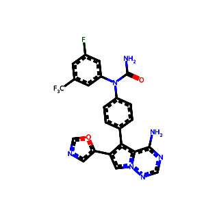 NC(=O)N(c1ccc(-c2c(-c3cnco3)cn3ncnc(N)c23)cc1)c1cc(F)cc(C(F)(F)F)c1